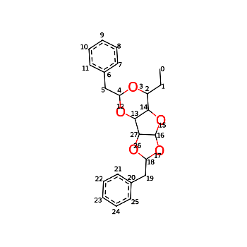 CCC1OC(Cc2ccccc2)OC2C1OC1OC(Cc3ccccc3)OC12